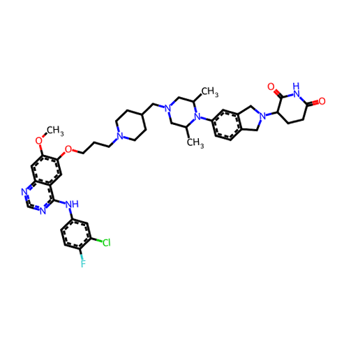 COc1cc2ncnc(Nc3ccc(F)c(Cl)c3)c2cc1OCCCN1CCC(CN2CC(C)N(c3ccc4c(c3)CN(C3CCC(=O)NC3=O)C4)C(C)C2)CC1